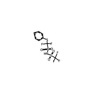 O=S(=O)(NS(=O)(=O)C(F)(F)Sc1ccccc1)C(F)(F)F